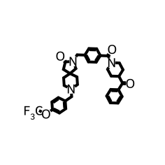 O=C(c1ccccc1)C1CCN(C(=O)c2ccc(CN3CC4(CCN(Cc5ccc(OC(F)(F)F)cc5)CC4)CC3=O)cc2)CC1